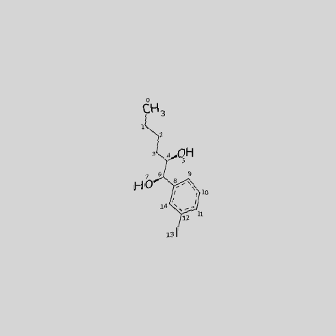 CCCC[C@@H](O)[C@H](O)c1cccc(I)c1